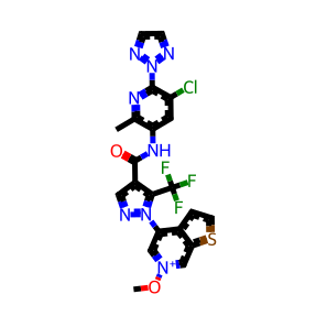 CO[n+]1cc(-n2ncc(C(=O)Nc3cc(Cl)c(-n4nccn4)nc3C)c2C(F)(F)F)c2ccsc2c1